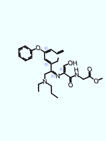 C=C\C=C(/C=C(CC)/C(CN(CC)CCC)=N\C(=C\O)C(=O)NCC(=O)OC)Oc1ccccc1